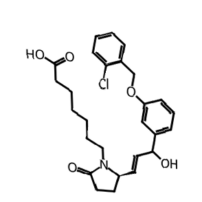 O=C(O)CCCCCCN1C(=O)CC[C@@H]1/C=C/C(O)c1cccc(OCc2ccccc2Cl)c1